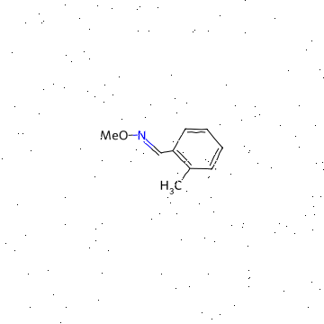 CON=Cc1ccc[c]c1C